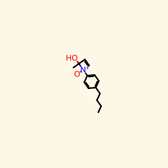 CCCCc1ccc([N+]2([O-])C=CC2(C)O)cc1